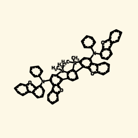 C[Si]1(C)c2cc(N(c3ccccc3)c3cccc4c3oc3ccccc34)c3c(oc4ccccc43)c2-c2ccc3c(c21)[Si](C)(C)c1cc(N(c2ccccc2)c2cccc4c2oc2ccccc24)c2c(oc4ccccc42)c1-3